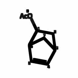 CC(=O)OC1CC2C=CC1C2